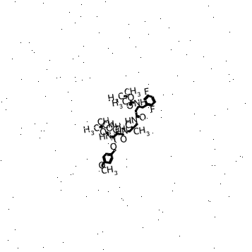 COc1ccc(COC[C@@H](NC(=O)OC(C)(C)C)[C@H](O)C(=O)NCC(C)(C)CNC(=O)CC(Cc2cc(F)ccc2F)NC(=O)OC(C)(C)C)cc1